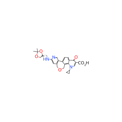 CC1(C)OC[C@@H](CNc2cc3c(cn2)-c2ccc4c(=O)c(C(=O)O)cn(C5CC5)c4c2COC3)O1